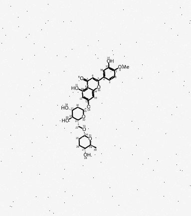 COc1ccc(-c2cc(=O)c3c(O)cc(O[C@H]4C[C@@H](O)[C@H](O)[C@@H](CO[C@H]5CC[C@@H](O)[C@H](C)O5)O4)cc3o2)cc1O